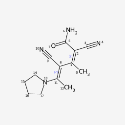 CC(=C(\C#N)C(N)=O)/C(C#N)=C(\C)N1CCCC1